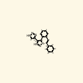 C(=Cc1ccccc1-c1nn[nH]c1-c1c[nH]nn1)c1ccccc1